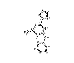 FC(F)(F)c1cc(-c2cccs2)nc(Sc2ccccc2)n1